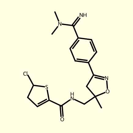 CN(C)C(=N)c1ccc(C2=NOC(C)(CNC(=O)C3=CCC(Cl)S3)C2)cc1